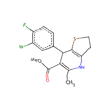 COC(=O)C1=C(C)NC2=C(SCC2)C1c1ccc(F)c(Br)c1